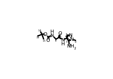 Cn1ncc(NC(=O)CNC(=O)OC(C)(C)C)c1N